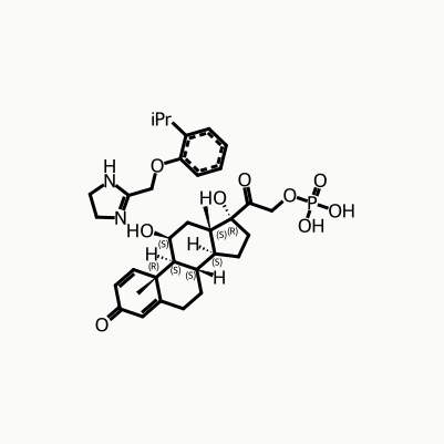 CC(C)c1ccccc1OCC1=NCCN1.C[C@]12C=CC(=O)C=C1CC[C@@H]1[C@@H]2[C@@H](O)C[C@@]2(C)[C@H]1CC[C@]2(O)C(=O)COP(=O)(O)O